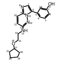 Oc1cccc(-c2cnc3ccc(NCCOC4CCCC4)nn23)c1